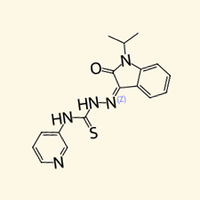 CC(C)N1C(=O)/C(=N\NC(=S)Nc2cccnc2)c2ccccc21